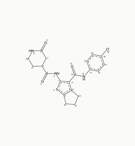 O=C1CC(C(=O)Nc2sc3c(c2C(=O)Nc2ccc(Cl)cc2)CCC3)CCN1